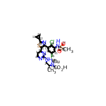 C[C@@H](CNc1nccc(-c2sc(C3CC3)nc2-c2cc(F)cc(NS(C)(=O)=O)c2Cl)n1)N(C(=O)O)C(C)(C)C